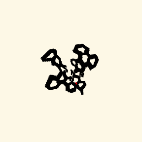 Cc1ccc(-c2nc3c(nc2-n2c4ccccc4c4c5ccccc5c5c6cc7ccccc7cc6sc5c42)oc2c4ccccc4c4ccccc4c32)cc1